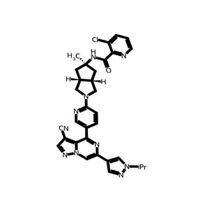 CC(C)n1cc(-c2cn3ncc(C#N)c3c(-c3ccc(N4C[C@@H]5C[C@@](C)(NC(=O)c6ncccc6Cl)C[C@@H]5C4)nc3)n2)cn1